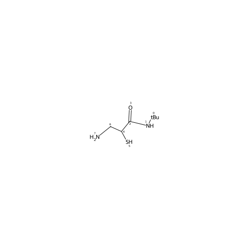 CC(C)(C)NC(=O)C(S)CN